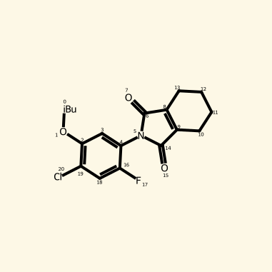 CCC(C)Oc1cc(N2C(=O)C3=C(CCCC3)C2=O)c(F)cc1Cl